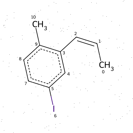 C/C=C\c1cc(I)ccc1C